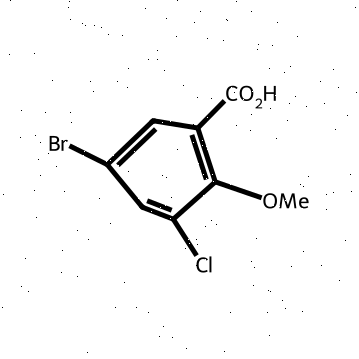 COc1c(Cl)cc(Br)cc1C(=O)O